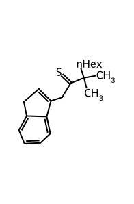 CCCCCCC(C)(C)C(=S)CC1=CCc2ccccc21